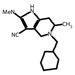 CNc1[nH]c2c(c1C#N)CN(CC1CCCCC1)C(C)C2